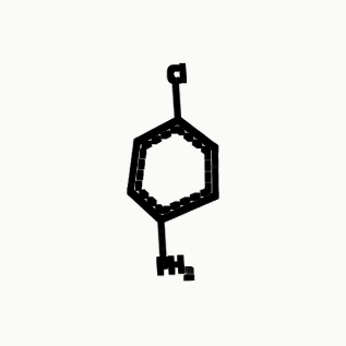 Pc1ccc(Cl)cc1